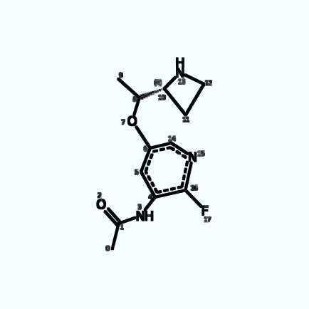 CC(=O)Nc1cc(OC(C)[C@H]2CCN2)cnc1F